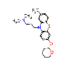 CN(C)CCCN1c2ccc(O[C@H]3CCCCO3)cc2Sc2ccc(C(F)(F)F)cc21